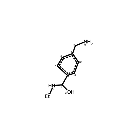 CCNC(O)c1ccc(CN)cc1